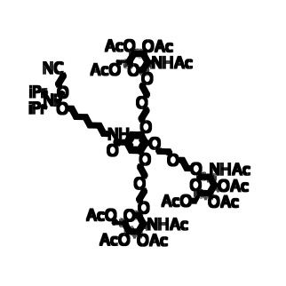 CC(=O)N[C@H]1[C@H](OCCOCCOc2cc(C(=O)NCCCCCCOP(OCCC#N)N(C(C)C)C(C)C)cc(OCCOCCO[C@@H]3O[C@H](COC(C)=O)[C@H](OC(C)=O)[C@H](OC(C)=O)[C@H]3NC(C)=O)c2OCCOCCO[C@@H]2O[C@H](COC(C)=O)[C@H](OC(C)=O)[C@H](OC(C)=O)[C@H]2NC(C)=O)O[C@H](COC(C)=O)[C@H](OC(C)=O)[C@@H]1OC(C)=O